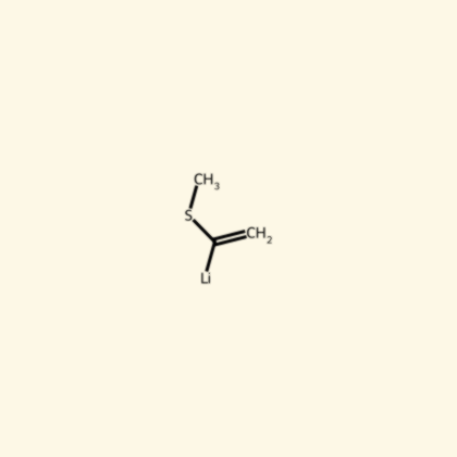 [Li][C](=C)SC